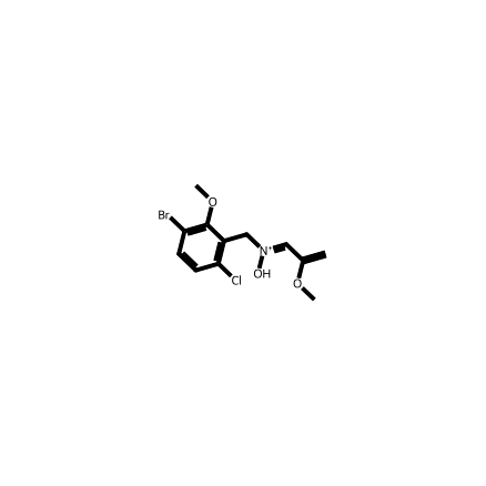 C=C(/C=[N+](\O)Cc1c(Cl)ccc(Br)c1OC)OC